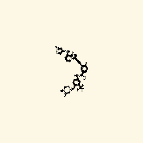 Cc1ccc(C(=O)Nc2ccc(CN3CCN(C)[C@H](C)C3)c(C(F)(F)F)c2)cc1C#Cc1cnc2c(Nc3cnn(C)c3)cccn12